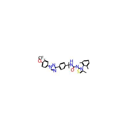 Cc1cccc(C)c1-n1c(C)cs/c1=N\C(=O)NC(C)(C)c1ccc(-c2ncn(-c3ccc(OC(F)(F)F)cc3)n2)cc1